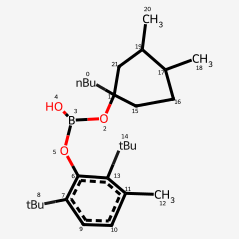 CCCCC1(OB(O)Oc2c(C(C)(C)C)ccc(C)c2C(C)(C)C)CCC(C)C(C)C1